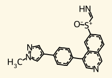 Cn1cc(-c2ccc(-c3cncc4ccc([S+]([O-])C=N)cc34)cc2)cn1